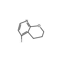 Ic1ccnc2c1CCCO2